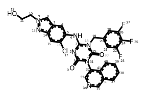 O=c1nc(Nc2cc3cn(CCO)nc3cc2Cl)n(Cc2cc(F)c(F)c(F)c2)c(=O)n1-c1cncc2ccccc12